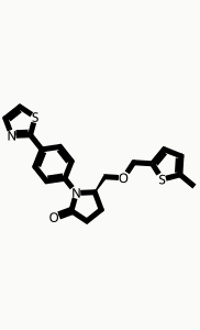 Cc1ccc(COC[C@H]2CCC(=O)N2c2ccc(-c3nccs3)cc2)s1